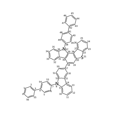 c1ccc(-c2ccc(-n3c4ccccc4c4cc(-c5cc6sc7ccccc7c6c6c5c5ccccc5n6-c5ccc(-c6ccccc6)cc5)ccc43)cc2)cc1